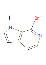 Cn1ccc2ccnc(Br)c21